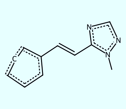 Cn1ncnc1C=Cc1ccccc1